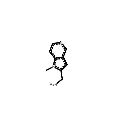 CNCc1cc2cnccc2n1C